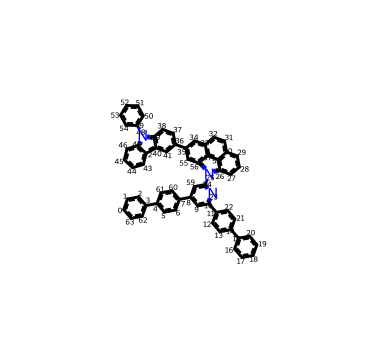 c1ccc(-c2ccc(-c3cc(-c4ccc(-c5ccccc5)cc4)nc(-n4c5cccc6ccc7cc(-c8ccc9c(c8)c8ccccc8n9-c8ccccc8)cc4c7c65)c3)cc2)cc1